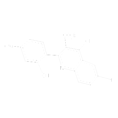 CCOC(=O)c1c(-c2ccc(C(C)(C)C)cc2C)nc2ccc(F)cc2c1Cl